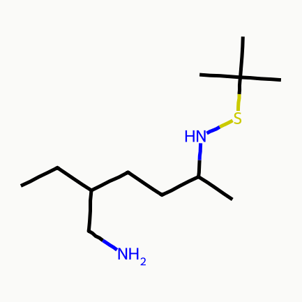 CCC(CN)CCC(C)NSC(C)(C)C